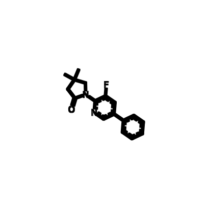 CC1(C)CC(=O)N(c2ncc(-c3ccccc3)cc2F)C1